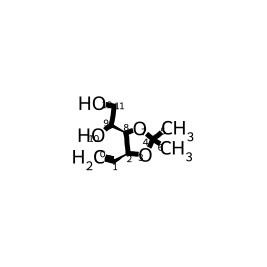 C=C[C@@H]1OC(C)(C)O[C@@H]1C(O)CO